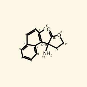 Cc1ccc2ccccc2c1C1(N)CCOC1=O